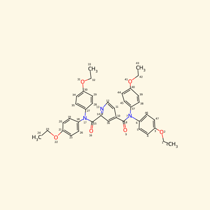 CCOc1ccc(N(C(=O)c2ccnc(C(=O)N(c3ccc(OCC)cc3)c3ccc(OCC)cc3)c2)c2ccc(OCC)cc2)cc1